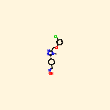 Cn1c(COc2cccc(Cl)c2)nnc1[C@H]1CC[C@H](C=NO)CC1